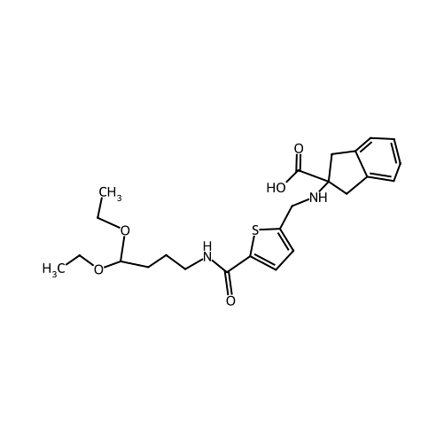 CCOC(CCCNC(=O)c1ccc(CNC2(C(=O)O)Cc3ccccc3C2)s1)OCC